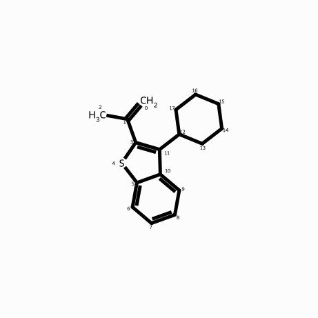 C=C(C)c1sc2ccccc2c1C1CCCCC1